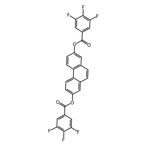 O=C(Oc1ccc2c(ccc3cc(OC(=O)c4cc(F)c(F)c(F)c4)ccc32)c1)c1cc(F)c(F)c(F)c1